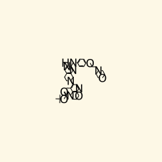 Cc1c(N2CCc3cnc(Nc4ccc(OCCN5CCOCC5)cc4)nc3C2)cnc2c1N(C(=O)OC(C)(C)C)CCO2